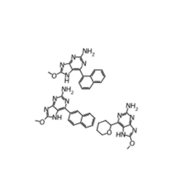 COc1nc2nc(N)nc(-c3ccc4ccccc4c3)c2[nH]1.COc1nc2nc(N)nc(-c3cccc4ccccc34)c2[nH]1.COc1nc2nc(N)nc(C3CCCCO3)c2[nH]1